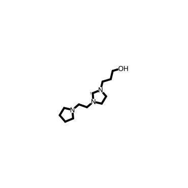 OCCCN1[C]N(CCN2CCCC2)CC1